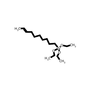 CC=CCCCCCCC[Si](OCC)(OCC)OCC